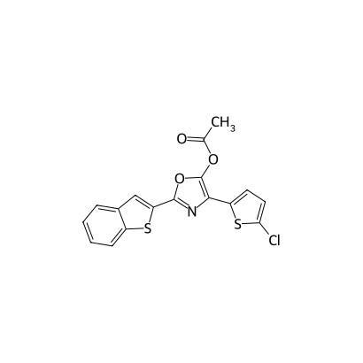 CC(=O)Oc1oc(-c2cc3ccccc3s2)nc1-c1ccc(Cl)s1